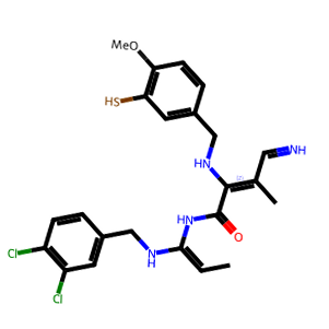 CC=C(NCc1ccc(Cl)c(Cl)c1)NC(=O)/C(NCc1ccc(OC)c(S)c1)=C(\C)C=N